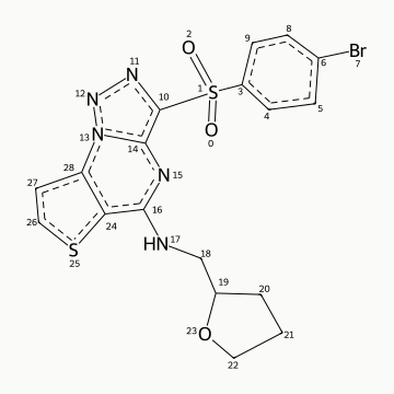 O=S(=O)(c1ccc(Br)cc1)c1nnn2c1nc(NCC1CCCO1)c1sccc12